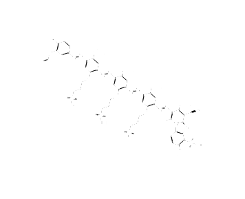 COc1ccc2c(nc3c(C#N)c(C)c(N=Nc4cc(C)c(N=Nc5cc(C)c(N=Nc6cc(C)c(N=Nc7ccc(Cl)c(OC=O)c7)cc6SCCCS(=O)(=O)O)cc5SCCCS(=O)(=O)O)cc4OCCCS(=O)(=O)O)c(O)n32)c1S(=O)(=O)O